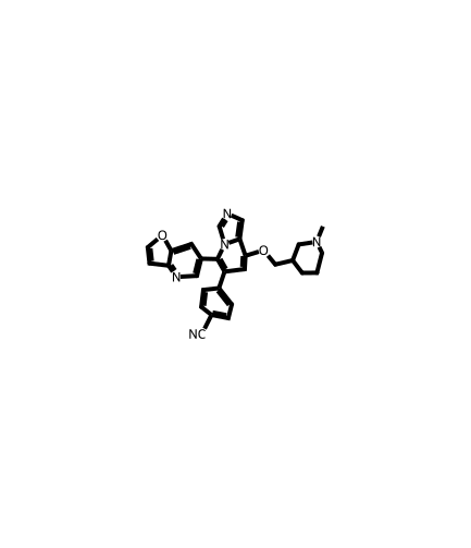 CN1CCCC(COc2cc(-c3ccc(C#N)cc3)c(-c3cnc4ccoc4c3)n3cncc23)C1